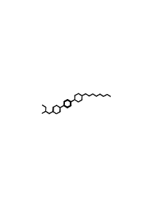 CCCCCCCCC1CCC(c2ccc(C3CC=C(CC(C)CC)CC3)cc2)CC1